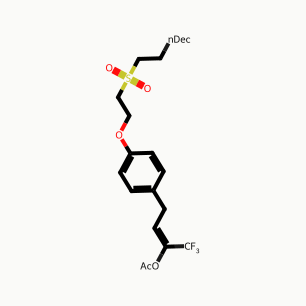 CCCCCCCCCCCCS(=O)(=O)CCOc1ccc(C/C=C(/OC(C)=O)C(F)(F)F)cc1